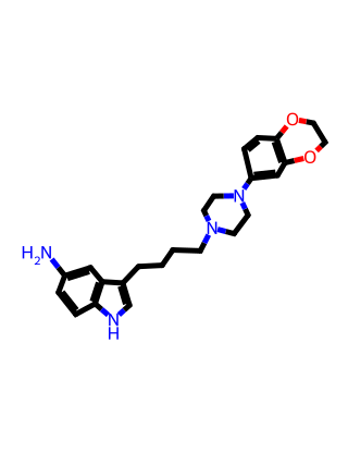 Nc1ccc2[nH]cc(CCCCN3CCN(c4ccc5c(c4)OCCO5)CC3)c2c1